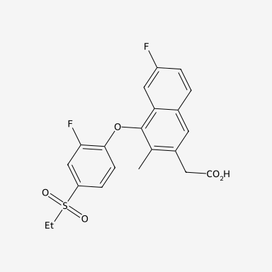 CCS(=O)(=O)c1ccc(Oc2c(C)c(CC(=O)O)cc3ccc(F)cc23)c(F)c1